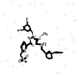 CCc1cccc(CNC[C@@H](O)[C@H](Cc2cc(F)cc(F)c2)NC(=O)c2ccc(CS(C)(=O)=O)s2)c1